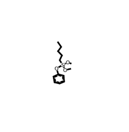 CCCCC[Si](OC)(OC)Oc1ccccc1